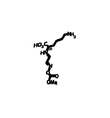 COC(=O)ON=CCN[C@@H](CCCCN)C(=O)O